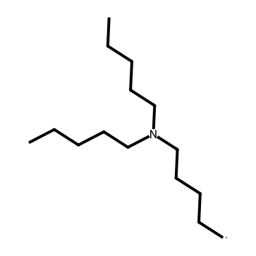 [CH2]CCCCN(CCCCC)CCCCC